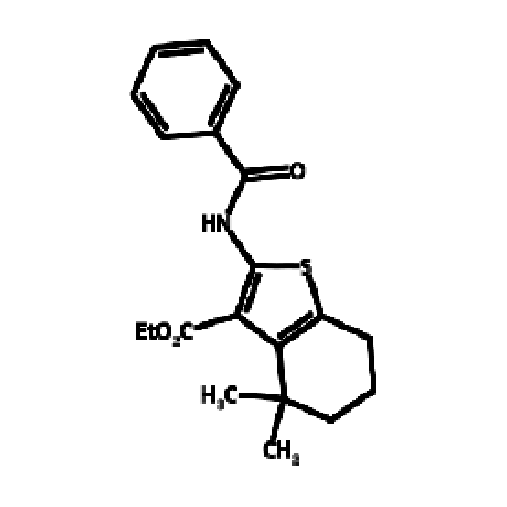 CCOC(=O)c1c(NC(=O)c2ccccc2)sc2c1C(C)(C)CCC2